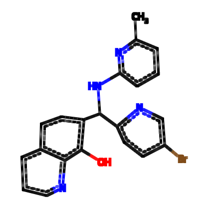 Cc1cccc(NC(c2ccc(Br)cn2)c2ccc3cccnc3c2O)n1